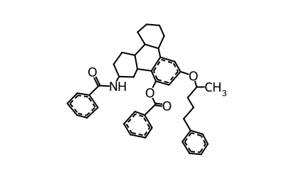 CC(CCCc1ccccc1)Oc1cc(OC(=O)c2ccccc2)c2c(c1)C1CCCCC1C1CCC(NC(=O)c3ccccc3)CC21